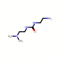 CN(C)CCNC(=O)NCCN